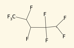 F[C](F)C(F)(F)C(F)C(F)C(F)(F)F